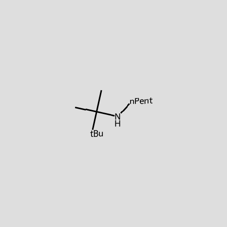 CCCCCNC(C)(C)C(C)(C)C